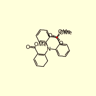 COC(=O)C1=C(N(c2ccccc2C(=O)OC)c2ccccc2C(=O)OC)CCC=C1